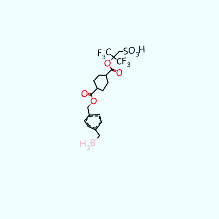 BCc1ccc(COC(=O)C2CCC(C(=O)OC(CS(=O)(=O)O)(C(F)(F)F)C(F)(F)F)CC2)cc1